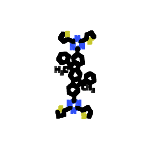 CC1(c2ccccc2)C2=C(CCC(c3nc(-c4cccs4)nc(-c4cccs4)n3)=C2)c2cc3c(cc21)-c1ccc(-c2nc(-c4cccs4)nc(-c4cccs4)n2)cc1C3(C)c1ccccc1